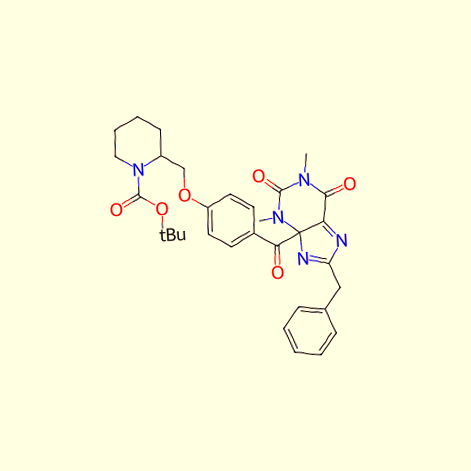 CN1C(=O)C2=NC(Cc3ccccc3)=NC2(C(=O)c2ccc(OCC3CCCCN3C(=O)OC(C)(C)C)cc2)N(C)C1=O